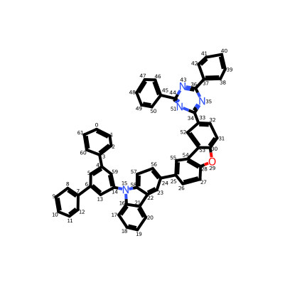 c1ccc(-c2cc(-c3ccccc3)cc(-n3c4ccccc4c4cc(-c5ccc6oc7ccc(-c8nc(-c9ccccc9)nc(-c9ccccc9)n8)cc7c6c5)ccc43)c2)cc1